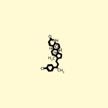 CC(CCC1CC[C@H]2[C@@H]3CCC4NC(=O)C=C[C@]4(C)[C@@H]3CC[C@]12C)c1ccc(Cl)cc1